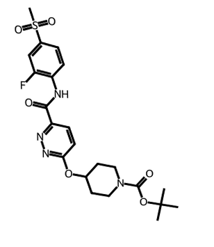 CC(C)(C)OC(=O)N1CCC(Oc2ccc(C(=O)Nc3ccc(S(C)(=O)=O)cc3F)nn2)CC1